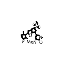 C=CS(=O)(=O)c1cc(-c2cc(NC)c(=O)n(C)c2)c2oc(-c3c(C)ccc(F)c3C)cc2c1